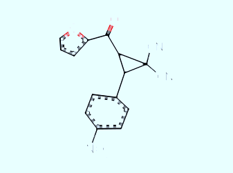 N#CC1(C#N)C(C(=O)c2ccco2)C1c1ccc([N+](=O)[O-])cc1